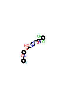 O[C@H](COc1ccc2oc(-c3cccc(F)c3)nc2c1)CN1CCN(Cc2cc(-c3c(Cl)cccc3Cl)no2)CC1